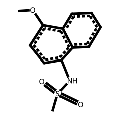 COc1ccc(NS(C)(=O)=O)c2ccccc12